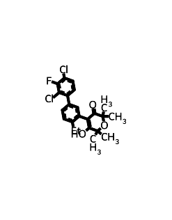 CCc1ccc(-c2ccc(Cl)c(F)c2Cl)cc1C1=C(O)C(C)(C)OC(C)(C)C1=O